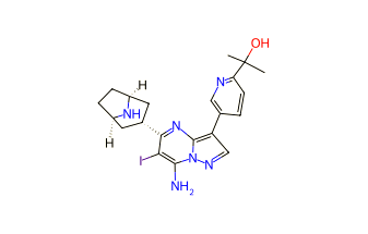 CC(C)(O)c1ccc(-c2cnn3c(N)c(I)c([C@@H]4C[C@H]5CC[C@@H](C4)N5)nc23)cn1